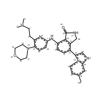 CN(C)CCc1nc(Nc2ccc(-c3cnc4cc(F)ccn34)c3c2C(=O)NC3)ccc1N1CCOCC1